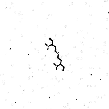 C=CC(CCOCCC(C=C)N(C)C)N(C)C